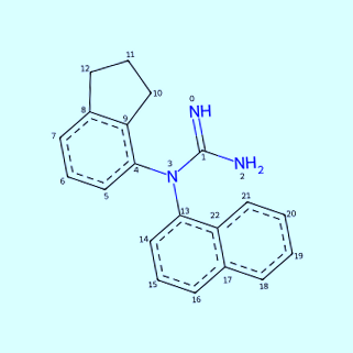 N=C(N)N(c1cccc2c1CCC2)c1cccc2ccccc12